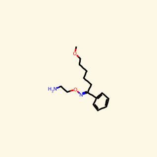 COCCCCCC(=NOCCN)c1ccccc1